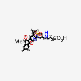 CNC(=O)c1c(-c2ccc(C)cc2)oc2nc(N(CCCNCCCC(=O)O)S(C)(=O)=O)c(C3CC3)cc12